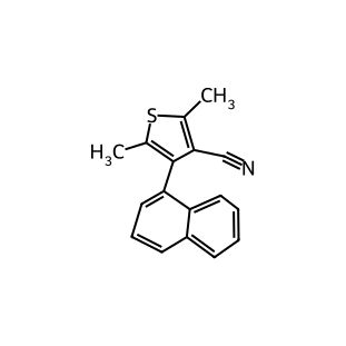 Cc1sc(C)c(-c2cccc3ccccc23)c1C#N